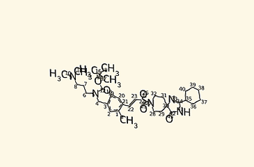 Cc1cc(CN(CCCN(C)C)C(=O)OC(C)(C)C)ccc1/C=C/S(=O)(=O)N1CCC2(CC1)N=C(C1CCCCC1)NC2=O